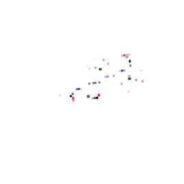 O=C(O)CN(CCN(CCN(CC(=O)O)C(P(=O)(O)O)P(=O)(O)O)C(P(=O)(O)O)P(=O)(O)O)CC(=O)O